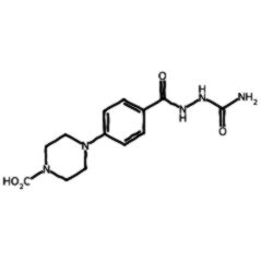 NC(=O)NNC(=O)c1ccc(N2CCN(C(=O)O)CC2)cc1